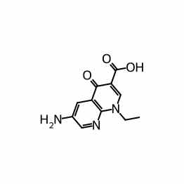 CCn1cc(C(=O)O)c(=O)c2cc(N)cnc21